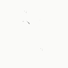 CN1CCC[C@@H]1C(=O)OCCN1CCOCC1